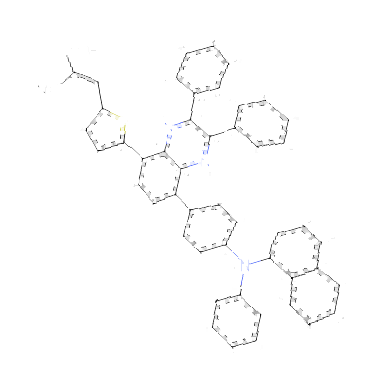 N#C/C(=C\c1ccc(-c2ccc(-c3ccc(N(c4ccccc4)c4cccc5ccccc45)cc3)c3nc(-c4ccccc4)c(-c4ccccc4)nc23)s1)C(=O)O